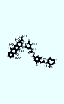 COc1cccc2c1C(=O)c1c(O)c3c(c(O)c1C2=O)C[C@@](O)(C(=O)CO)C[C@@H]3OC1CC(NC(=O)OCc2cc(C)c(CC(=O)NC3CC/C=C/CCC3N)c(C)c2)[C@H](O)C(C)O1